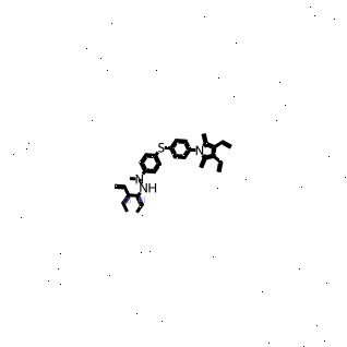 C=CC(=C/C)/C(=C\C)NN(C)c1ccc(Sc2ccc(-n3c(=C)c(C=C)c(C=C)c3=C)cc2)cc1